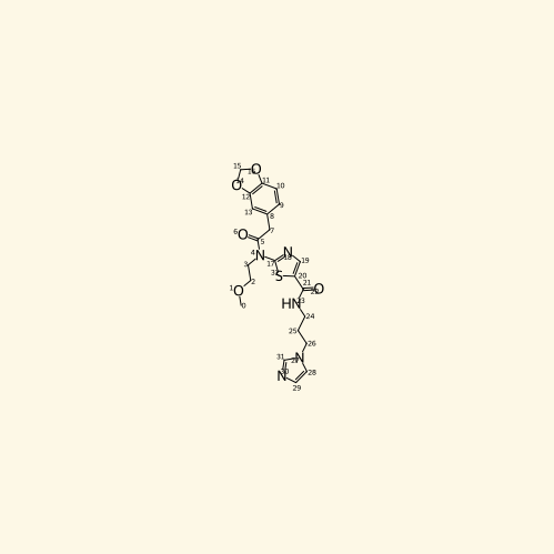 COCCN(C(=O)Cc1ccc2c(c1)OCO2)c1ncc(C(=O)NCCCn2ccnc2)s1